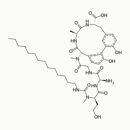 CCCCCCCCCCCCCCNC(=O)N(C)[C@H](CCO)C(=O)N[C@H](N)C(=O)NCC(=O)N(C)[C@@H]1C(=O)N[C@@H](C)C(=O)N[C@H](C(=O)O)Cc2ccc(O)c(c2)-c2cc1ccc2O